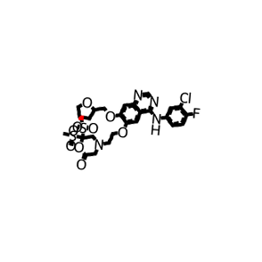 CS(=O)(=O)C1(S(C)(=O)=O)CN(CCOc2cc3c(Nc4ccc(F)c(Cl)c4)ncnc3cc2OCC2CCCO2)CC(=O)O1